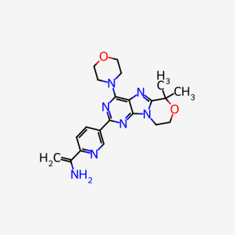 C=C(N)c1ccc(-c2nc(N3CCOCC3)c3nc4n(c3n2)CCOC4(C)C)cn1